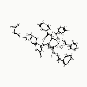 CC(=O)OCCc1ccc(Cc2c(C)cc(C)cc2O[C@@H]2O[C@H]([C@@H](C)OC(=O)c3ccccc3)[C@@H](OC(=O)c3ccccc3)[C@H](OC(=O)c3ccccc3)[C@H]2OC(=O)c2ccccc2)cc1